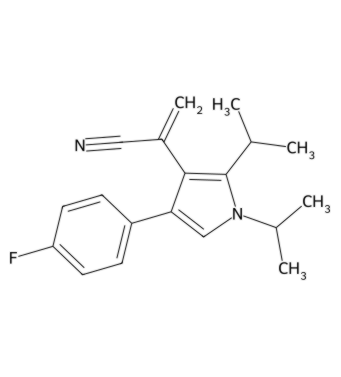 C=C(C#N)c1c(-c2ccc(F)cc2)cn(C(C)C)c1C(C)C